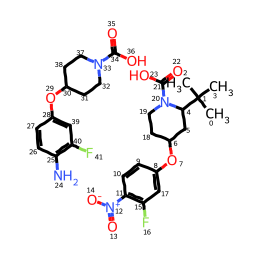 CC(C)(C)C1CC(Oc2ccc([N+](=O)[O-])c(F)c2)CCN1C(=O)O.Nc1ccc(OC2CCN(C(=O)O)CC2)cc1F